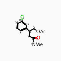 CNC(=O)CC(COC(C)=O)c1cccc(Cl)c1